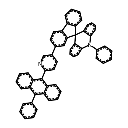 c1ccc(-c2c3ccccc3c(-c3ccc(-c4ccc5c(c4)C4(c6ccccc6-5)c5ccccc5N(c5ccccc5)c5ccccc54)cn3)c3ccccc23)cc1